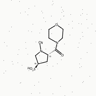 N#CN1C[C@H](S(=O)(=O)O)C[C@H]1C(=O)N1CCOCC1